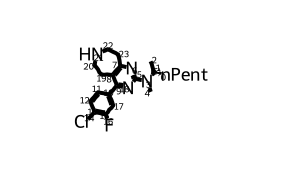 CCCCC[C@H](C)N(C)c1nc2c(c(-c3ccc(Cl)c(F)c3)n1)CCNCC2